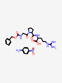 N=C(N)NCCCC(NC(=O)C1CCCN1C(=O)CNC(=O)OCc1ccccc1)C(=O)O.Nc1ccc([N+](=O)[O-])cc1